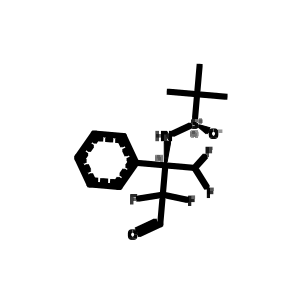 CC(C)(C)[S@@+]([O-])N[C@@](c1ccccc1)(C(F)F)C(F)(F)C=O